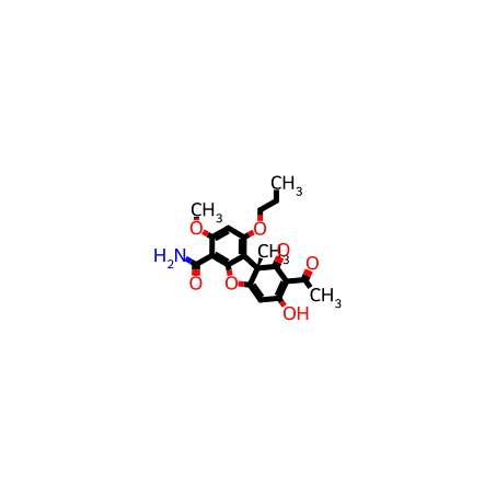 CCCOc1cc(OC)c(C(N)=O)c2c1[C@]1(C)C(=O)C(C(C)=O)=C(O)C=C1O2